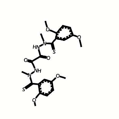 COc1ccc(OC)c(C(=S)N(C)NC(=O)C(=O)NN(C)C(=S)c2cc(OC)ccc2OC)c1